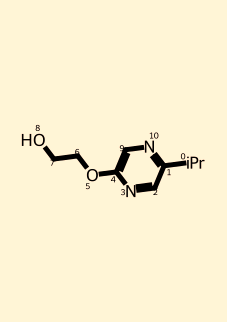 CC(C)c1cnc(OCCO)cn1